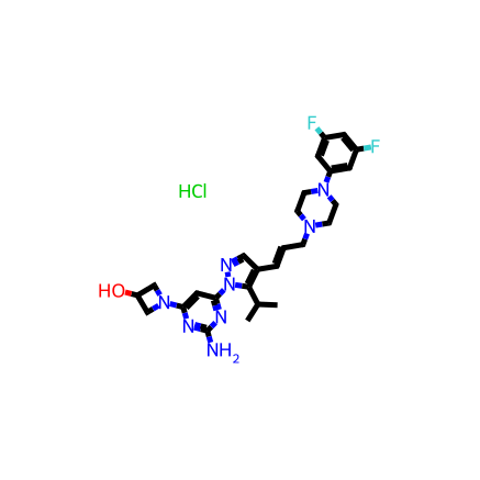 CC(C)c1c(C=CCN2CCN(c3cc(F)cc(F)c3)CC2)cnn1-c1cc(N2CC(O)C2)nc(N)n1.Cl